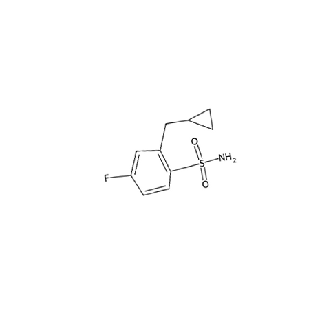 NS(=O)(=O)c1ccc(F)cc1CC1CC1